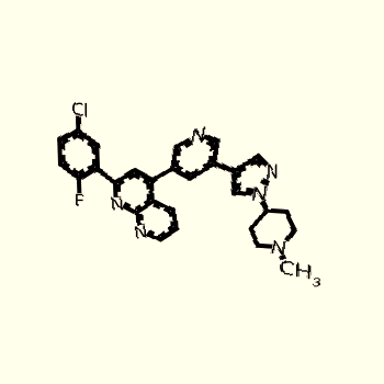 CN1CCC(n2cc(-c3cncc(-c4cc(-c5cc(Cl)ccc5F)nc5ncccc45)c3)cn2)CC1